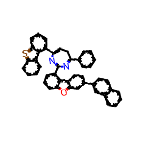 C1=C(c2cccc3sc4ccccc4c23)N=C(c2cccc3oc4cc(-c5ccc6ccccc6c5)ccc4c23)N=C(c2ccccc2)C1